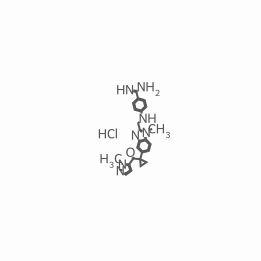 Cl.Cn1nccc1C(=O)C1(c2ccc3c(c2)nc(CNc2ccc(C(=N)N)cc2)n3C)CC1